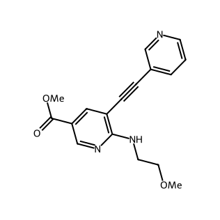 COCCNc1ncc(C(=O)OC)cc1C#Cc1cccnc1